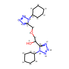 OC(COCc1nnnn1C1CCCCC1)c1nnnn1C1CCCCC1